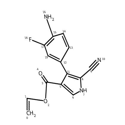 C=COC(=O)c1c[nH]c(C#N)c1-c1ccc(N)c(F)c1